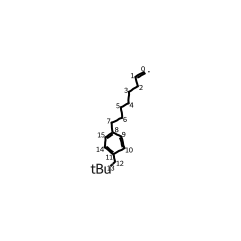 [CH]=CCCCCCCc1ccc(CC(C)(C)C)cc1